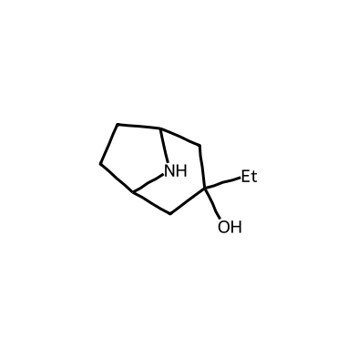 CCC1(O)CC2CCC(C1)N2